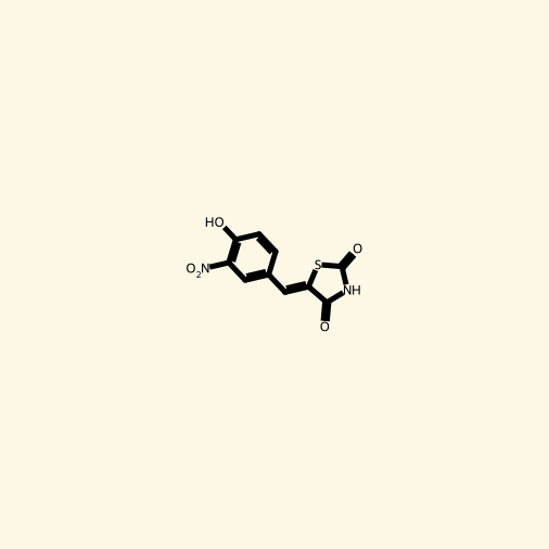 O=C1NC(=O)/C(=C/c2ccc(O)c([N+](=O)[O-])c2)S1